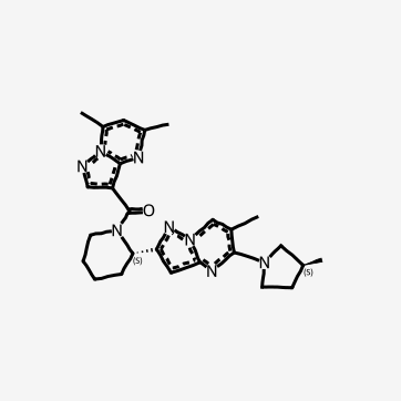 Cc1cc(C)n2ncc(C(=O)N3CCCC[C@H]3c3cc4nc(N5CC[C@H](C)C5)c(C)cn4n3)c2n1